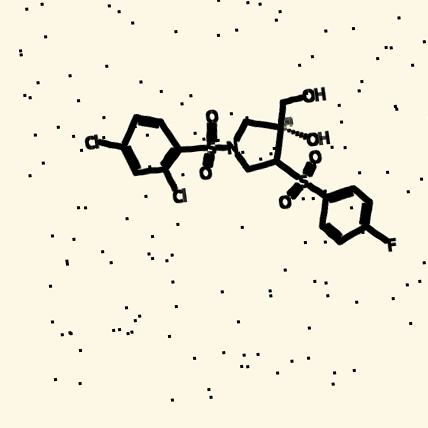 O=S(=O)(c1ccc(F)cc1)C1CN(S(=O)(=O)c2ccc(Cl)cc2Cl)C[C@@]1(O)CO